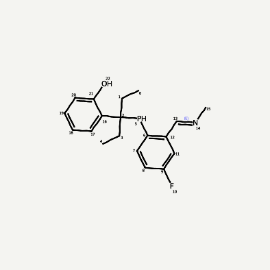 CCC(CC)(Pc1ccc(F)cc1/C=N/C)c1ccccc1O